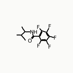 CC(C)C(C)NC(=O)c1c(F)c(F)c(F)c(F)c1F